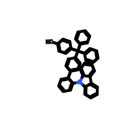 N#Cc1ccc([Si](c2ccccc2)(c2ccccc2)c2ccc(-c3ccccc3-n3c4ccccc4c4ccccc43)cc2)cc1